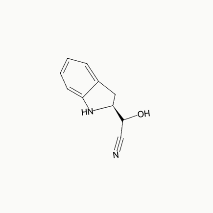 N#CC(O)[C@@H]1Cc2ccccc2N1